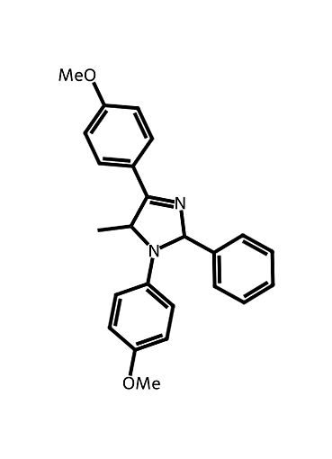 COc1ccc(C2=NC(c3ccccc3)N(c3ccc(OC)cc3)C2C)cc1